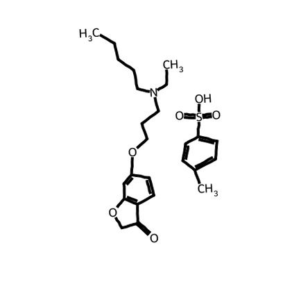 CCCCCN(CC)CCCOc1ccc2c(c1)OCC2=O.Cc1ccc(S(=O)(=O)O)cc1